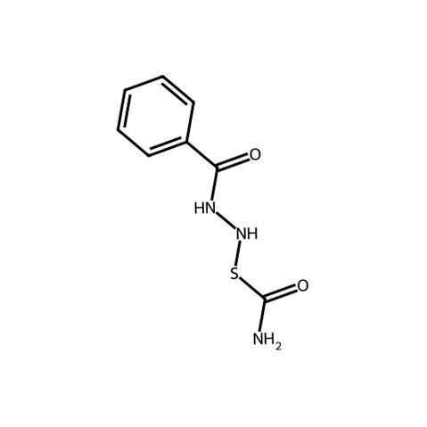 NC(=O)SNNC(=O)c1ccccc1